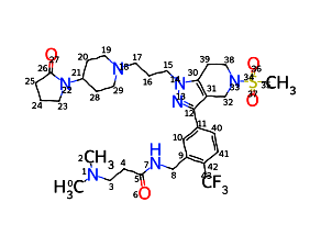 CN(C)CCC(=O)NCc1cc(-c2nn(CCCN3CCC(N4CCCC4=O)CC3)c3c2CN(S(C)(=O)=O)CC3)ccc1C(F)(F)F